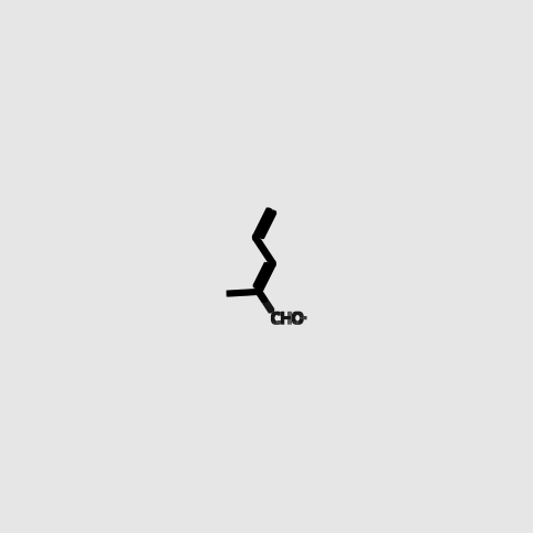 C=C/C=C(\C)[C]=O